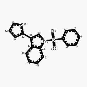 O=S(=O)(c1ccccc1)n1cc(-c2cccs2)c2ccccc21